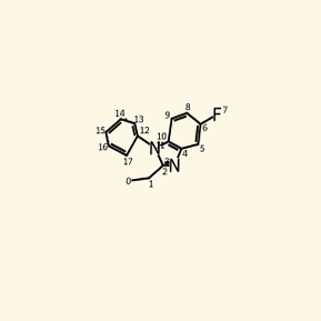 CCc1nc2cc(F)ccc2n1-c1c[c]ccc1